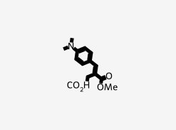 COC(=O)/C(=C/c1ccc(N(C)C)cc1)CC(=O)O